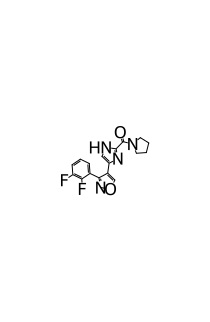 O=C(c1nc(-c2conc2-c2cccc(F)c2F)c[nH]1)N1CCCC1